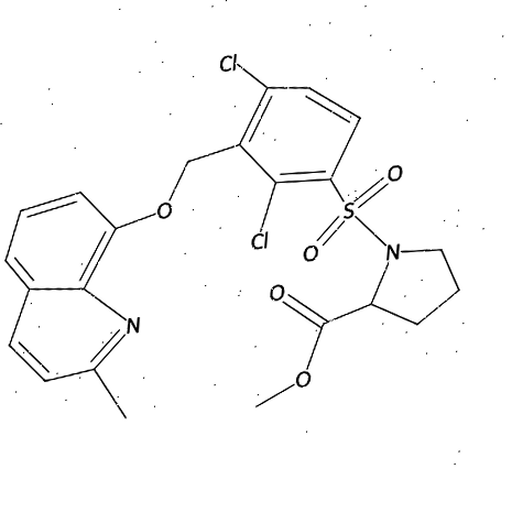 COC(=O)C1CCCN1S(=O)(=O)c1ccc(Cl)c(COc2cccc3ccc(C)nc23)c1Cl